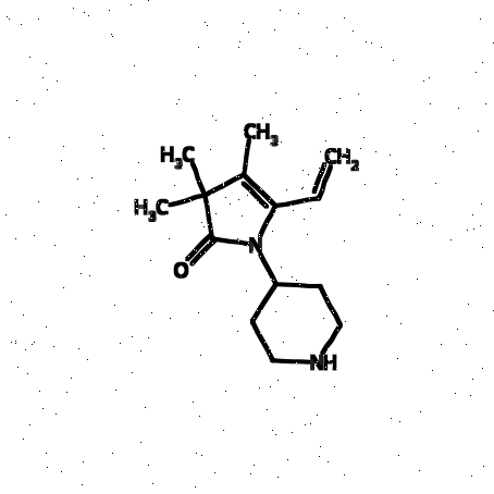 C=CC1=C(C)C(C)(C)C(=O)N1C1CCNCC1